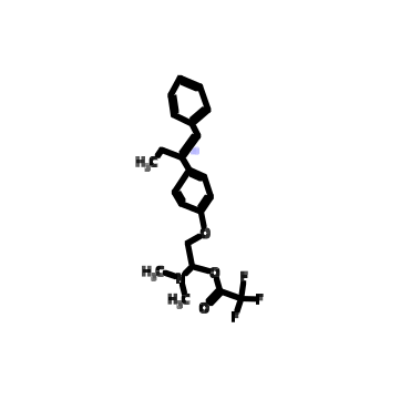 CC/C(=C\c1ccccc1)c1ccc(OCC(OC(=O)C(F)(F)F)N(C)C)cc1